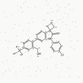 O=C(Nc1ccc(Cl)cc1)C1(c2ccc(-c3cnc(C(F)(F)F)cc3CO)cc2)COC1